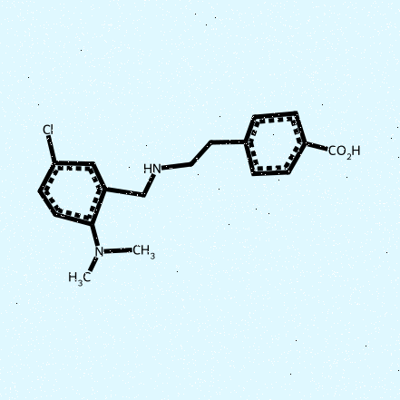 CN(C)c1ccc(Cl)cc1CNCCc1ccc(C(=O)O)cc1